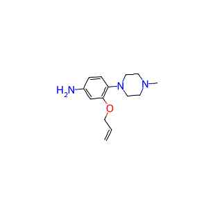 C=CCOc1cc(N)ccc1N1CCN(C)CC1